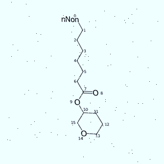 [CH2]CCCCCCCCCCCCCCC(=O)OC1C[CH]COC1